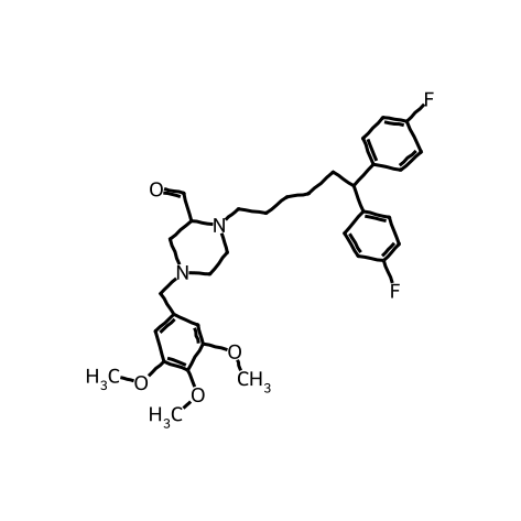 COc1cc(CN2CCN(CCCCCC(c3ccc(F)cc3)c3ccc(F)cc3)C(C=O)C2)cc(OC)c1OC